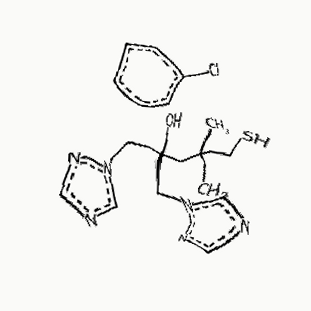 CC(C)(CS)C(O)(Cn1cncn1)Cn1cncn1.Clc1ccccc1